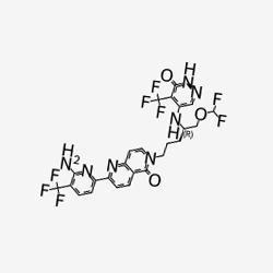 Nc1nc(-c2ccc3c(=O)n(CCC[C@H](COC(F)F)Nc4cn[nH]c(=O)c4C(F)(F)F)ccc3n2)ccc1C(F)(F)F